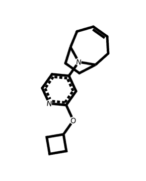 C1=CCC2CCC(C1)N2c1ccnc(OC2CCC2)c1